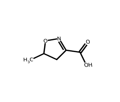 CC1CC(C(=O)O)=NO1